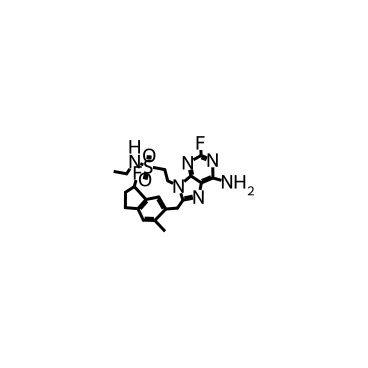 CCNS(=O)(=O)CCn1c(Cc2cc3c(cc2C)CCC3F)nc2c(N)nc(F)nc21